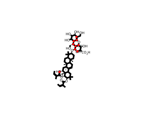 C/C=C(/C)C(=O)O[C@H]1[C@H](OC(=O)/C(C)=C\C)[C@@]2(CO)C(CC1(C)C)C1=CCC3[C@@]4(C)CC[C@H](O[C@@H]5OC(C(=O)O)[C@@H](O)C(OC(C)O[C@@H](CO)C(O)CO)C5O[C@@H]5OC(CO)[C@H](O)C(O)C5O)C(C)(C)C4CC[C@@]3(C)[C@]1(C)C[C@H]2O